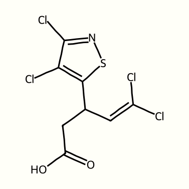 O=C(O)CC(C=C(Cl)Cl)c1snc(Cl)c1Cl